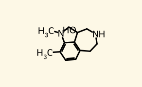 Cc1ccc2c3c1N(C)CC3(O)CNCC2